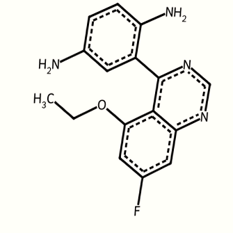 CCOc1cc(F)cc2ncnc(-c3cc(N)ccc3N)c12